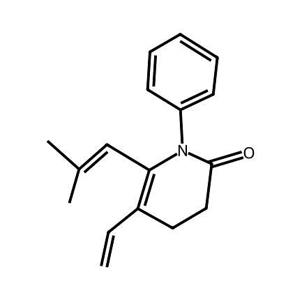 C=CC1=C(C=C(C)C)N(c2ccccc2)C(=O)CC1